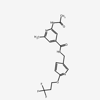 CC(=O)Nc1cc(C(=O)NCc2ccc(OCCC(F)(F)F)nc2)cc(C)n1